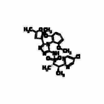 COc1cccc(OC)c1-n1c(NS(=O)(=O)[C@@H](C)[C@H](C)c2ncc(Cl)cn2)nnc1-c1cc(C)on1